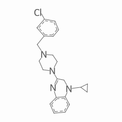 Clc1cccc(CN2CCN(C3=Nc4ccccc4N(C4CC4)C3)CC2)c1